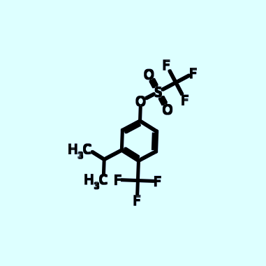 CC(C)c1cc(OS(=O)(=O)C(F)(F)F)ccc1C(F)(F)F